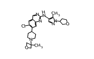 Cc1c(Nc2ncc3cc(Cl)c(C4CCN(C5(C)COC5)CC4)cc3n2)cnn1C1CCOC1